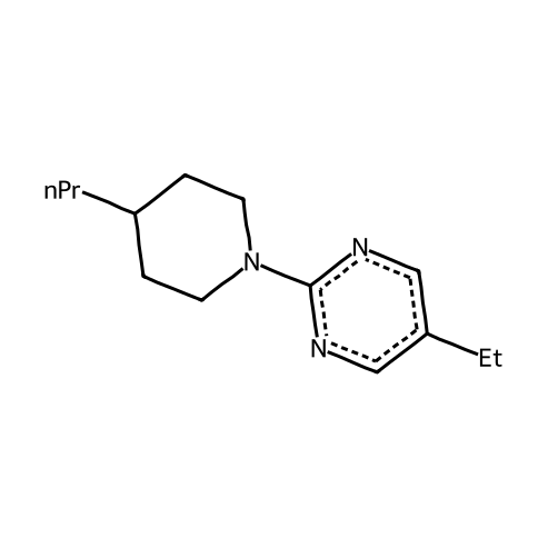 CCCC1CCN(c2ncc(CC)cn2)CC1